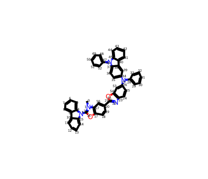 C[n+]1c(-n2c3ccccc3c3ccccc32)oc2ccc(-c3nc4ccc(N(c5ccccc5)c5ccc6c(c5)c5ccccc5n6-c5ccccc5)cc4o3)cc21